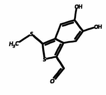 CSc1sc(C=O)c2cc(O)c(O)cc12